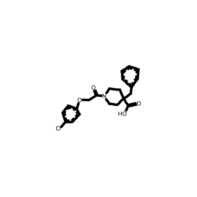 O=C(COc1ccc(Cl)cc1)N1CCC(Cc2ccccc2)(C(=O)O)CC1